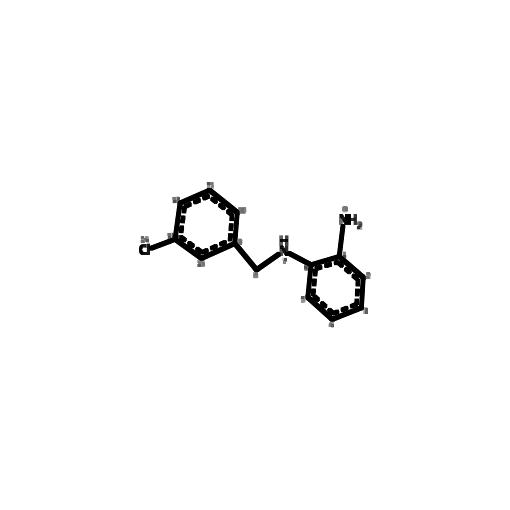 Nc1ccccc1NCc1cccc(Cl)c1